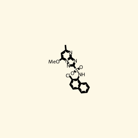 COc1cc(C)nc2nc(S(=O)(=O)Nc3c(Cl)ccc4ccccc34)nn12